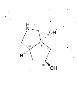 O[C@H]1C[C@H]2CNC[C@@]2(O)C1